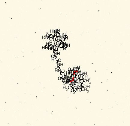 CC(C)C[C@H](NC(=O)[C@H](CS)NC(=O)[C@H](CO)NC(=O)[C@H](CC(=O)O)NC(=O)[C@@H](NC(=O)[C@@H](NC(=O)[C@H](CS)NC(=O)[C@H](C)N)[C@@H](C)O)C(C)C)C(=O)N[C@H](C(=O)N[C@@H](CS)C(=O)NCC(=O)NCC(=O)NCC(=O)NCC(=O)NCC(=O)N[C@@H](Cc1c[nH]cn1)C(=O)N[C@@H](Cc1c[nH]cn1)C(=O)N[C@@H](Cc1c[nH]cn1)C(=O)N[C@@H](Cc1c[nH]cn1)C(=O)N[C@@H](Cc1c[nH]cn1)C(=O)O)[C@@H](C)O